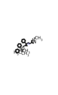 CCn1cc(/C=C/C2(c3ccccc3)CC2CO[Si](c2ccccc2)(c2ccccc2)C(C)(C)C)cn1